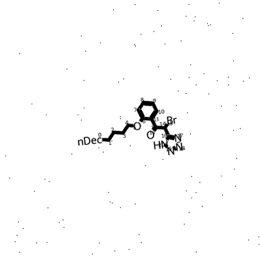 CCCCCCCCCCCCCCOc1ccccc1C(=O)C(Br)c1nnn[nH]1